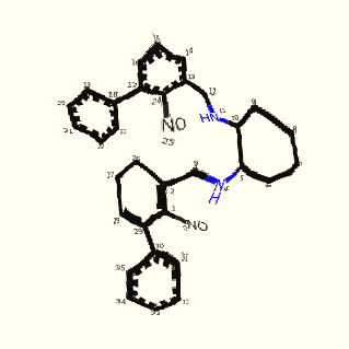 O=NC1=C(CN[C@@H]2CCCCC2NCc2cccc(-c3ccccc3)c2N=O)CCC=C1c1ccccc1